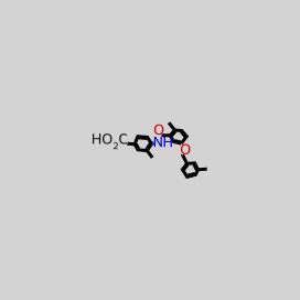 Cc1cccc(COc2ccc(C)c(C(=O)Nc3ccc(CC(=O)O)cc3C)c2)c1